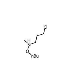 CCCCO[SiH](C)CCCCl